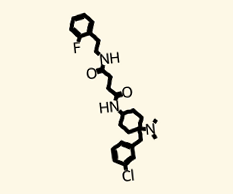 CN(C)C1(Cc2cccc(Cl)c2)CCC(NC(=O)CCC(=O)NCCc2ccccc2F)CC1